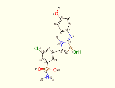 Br.COc1ccc(N=c2scc(-c3cc(Cl)cc(S(=O)(=O)N(C)C)c3)n2C)cc1